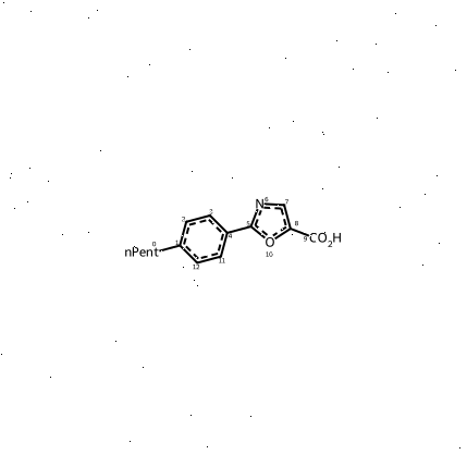 CCCCCc1ccc(-c2ncc(C(=O)O)o2)cc1